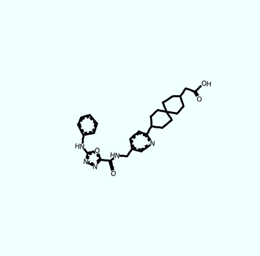 O=C(O)CC1CCC2(CC1)CCC(c1ccc(CNC(=O)c3nnc(Nc4ccccc4)o3)cn1)CC2